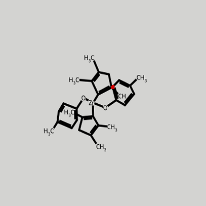 CC1=C(C)[C]([Zr]([O]c2ccc(C)cc2)([O]c2ccc(C)cc2)[C]2=C(C)CC(C)=C2C)=C(C)C1